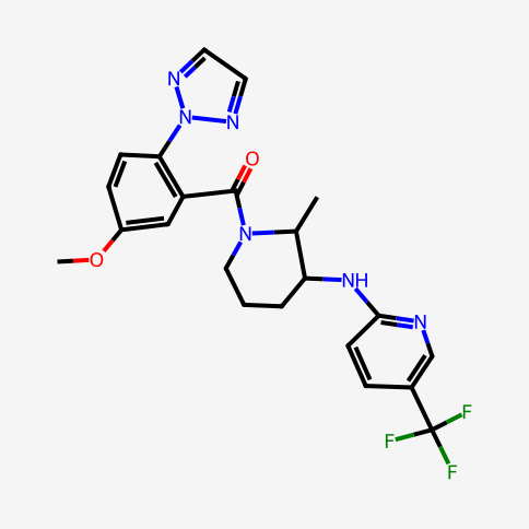 COc1ccc(-n2nccn2)c(C(=O)N2CCCC(Nc3ccc(C(F)(F)F)cn3)C2C)c1